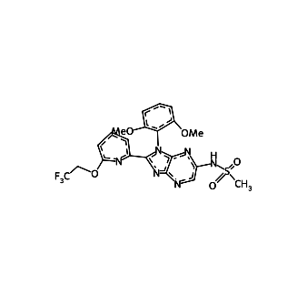 COc1cccc(OC)c1-n1c(-c2cccc(OCC(F)(F)F)n2)nc2ncc(NS(C)(=O)=O)nc21